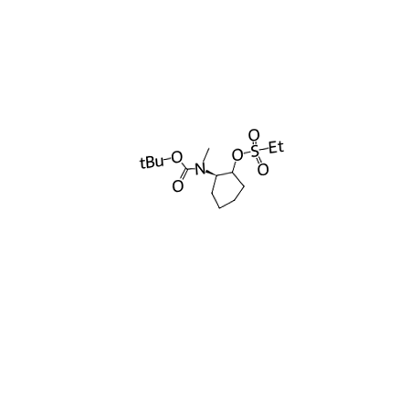 CCS(=O)(=O)OC1CCCC[C@H]1N(C)C(=O)OC(C)(C)C